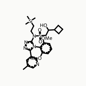 COc1cccc(OC)c1-n1c(-c2cncc(C)c2)nnc1N(CC[Si](C)(C)C)S(=O)(=O)CC(O)C1CCC1